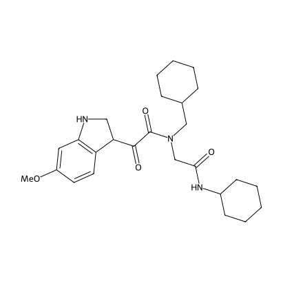 COc1ccc2c(c1)NCC2C(=O)C(=O)N(CC(=O)NC1CCCCC1)CC1CCCCC1